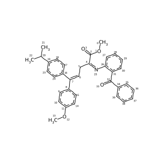 COC(=O)C(CC=C(c1ccc(OC)cc1)c1ccc(C(C)C)cc1)=Nc1ccccc1C(=O)c1ccccc1